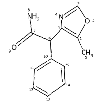 Cc1ocnc1C(C(N)=O)c1ccccc1